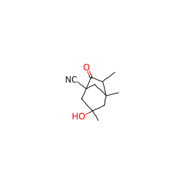 CC1C(=O)C2(C#N)CC(C)(O)CC1(C)C2